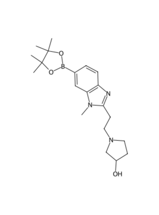 Cn1c(CCN2CCC(O)C2)nc2ccc(B3OC(C)(C)C(C)(C)O3)cc21